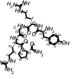 C[C@H](NC(=O)[C@H](CCCNC(=N)N)NC(=O)[C@@H](N)Cc1ccc(O)cc1)C(=O)N[C@@H](CCCNC(=N)N)C(=O)N1CCC[C@H]1C(N)=O